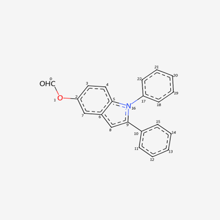 O=COc1ccc2c(c1)cc(-c1ccccc1)n2-c1ccccc1